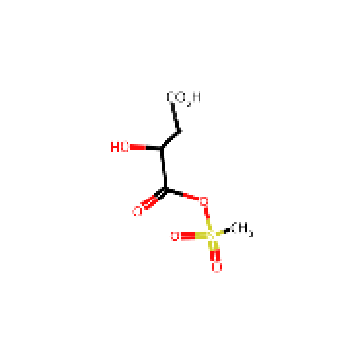 CS(=O)(=O)OC(=O)C(O)CC(=O)O